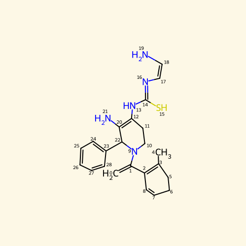 C=C(C1=C(C)CCC=C1)N1CCC(N/C(S)=N/C=C\N)=C(N)C1c1ccccc1